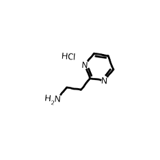 Cl.NCCc1ncccn1